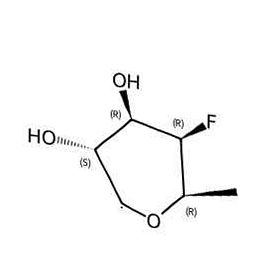 C[C@H]1O[CH][C@H](O)[C@@H](O)[C@H]1F